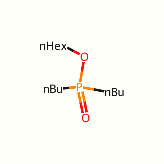 CCCCCCOP(=O)(CCCC)CCCC